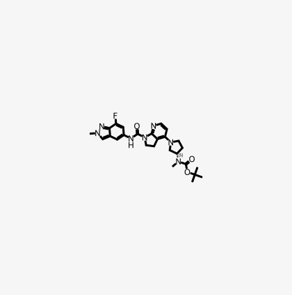 CN(C(=O)OC(C)(C)C)[C@H]1CCN(c2ccnc3c2CCN3C(=O)Nc2cc(F)c3nn(C)cc3c2)C1